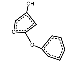 Oc1coc(Oc2ccccc2)c1